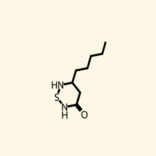 CCCCCC1CC(=O)NSN1